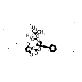 CC(C)(C)OC(=O)N1CC(C#Cc2ccccc2)(OC(=O)ON2C(=O)CCC2=O)C1